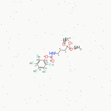 CCOC(CCCNC(=O)Oc1c(F)c(F)c(F)c(F)c1F)(O[SiH3])OCC